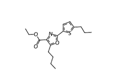 CCCCc1oc(-c2ccc(CCC)s2)nc1C(=O)OCC